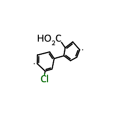 O=C(O)c1c[c]ccc1-c1cc[c]c(Cl)c1